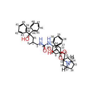 CC(CNC(=O)NC1CCC(CCN2[C@@H]3CC[C@H]2CC(OC(=O)C(CO)c2ccccc2)C3)CC1)CC(O)(c1ccccc1)c1ccccc1